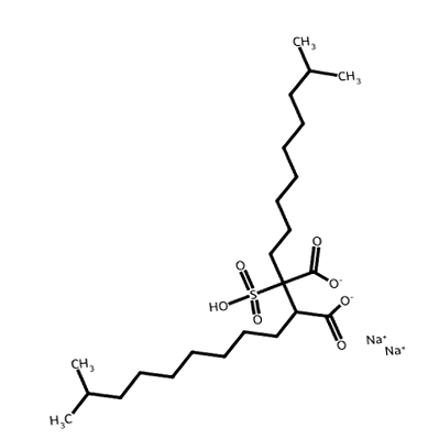 CC(C)CCCCCCCC(C(=O)[O-])C(CCCCCCCC(C)C)(C(=O)[O-])S(=O)(=O)O.[Na+].[Na+]